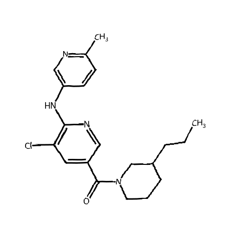 CCCC1CCCN(C(=O)c2cnc(Nc3ccc(C)nc3)c(Cl)c2)C1